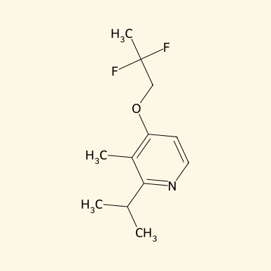 Cc1c(OCC(C)(F)F)ccnc1C(C)C